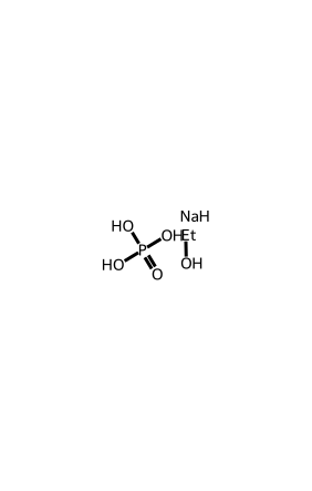 CCO.O=P(O)(O)O.[NaH]